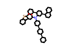 c1ccc(-c2ccc(-c3ccc(N(c4ccc5sc6ccccc6c5c4)c4cc(-c5cccc6ccccc56)ccc4-c4ccccc4)cc3)cc2)cc1